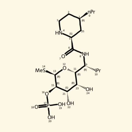 CCC[C@@H]1CCN[C@H](C(=O)N[C@H](C(C)C)[C@H]2O[C@H](SC)[C@H](OP(=O)(O)O)[C@@H](O)[C@H]2O)C1